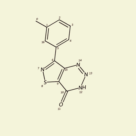 Cc1cccc(-c2nsc3c(=O)[nH]nnc23)c1